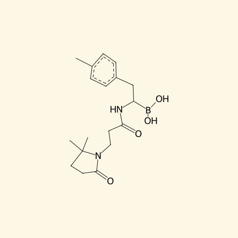 Cc1ccc(CC(NC(=O)CCN2C(=O)CCC2(C)C)B(O)O)cc1